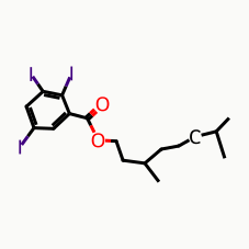 CC(C)CCCC(C)CCOC(=O)c1cc(I)cc(I)c1I